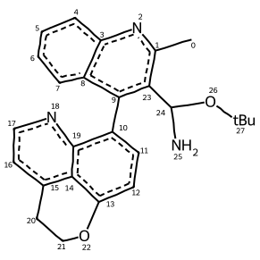 Cc1nc2ccccc2c(-c2ccc3c4c(ccnc24)CCO3)c1C(N)OC(C)(C)C